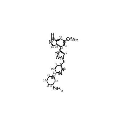 COc1cc(-c2cn(Cc3ccc(N4CCC[C@@H](N)C4)nn3)nn2)c2cn[nH]c2c1